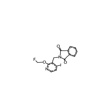 O=C1c2ccccc2C(=O)N1Cc1c(I)ccnc1OCF